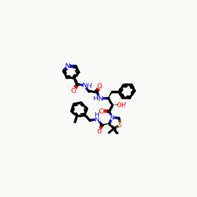 Cc1ccccc1CNC(=O)[C@H]1N(C(=O)[C@@H](O)[C@H](Cc2ccccc2)NC(=O)CNC(=O)c2ccncc2)CSC1(C)C